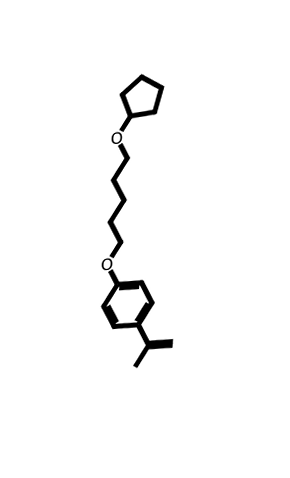 C=C(C)c1ccc(OCCCCCOC2CCCC2)cc1